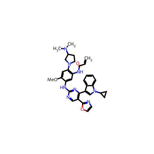 C=CC(=O)Nc1cc(Nc2ncc(-c3ncco3)c(-c3cn(C4CC4)c4ccccc34)n2)c(OC)cc1N1CCC(N(C)C)C1